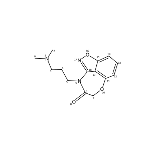 CN(C)CCCN1C(=O)COc2cccc3onc1c23